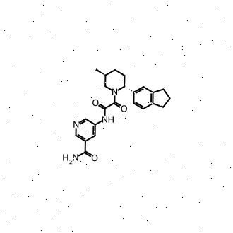 C[C@H]1CC[C@H](c2ccc3c(c2)CCC3)N(C(=O)C(=O)Nc2cncc(C(N)=O)c2)C1